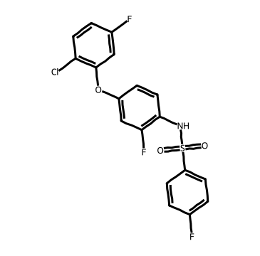 O=S(=O)(Nc1ccc(Oc2cc(F)ccc2Cl)cc1F)c1ccc(F)cc1